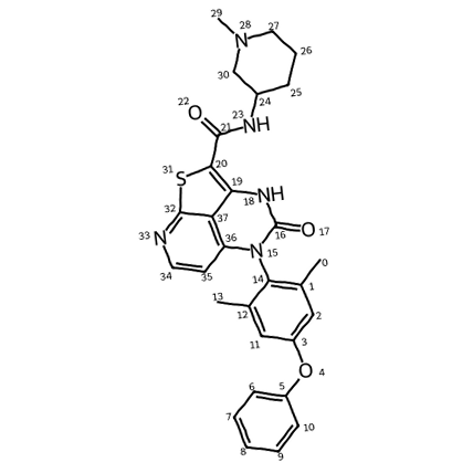 Cc1cc(Oc2ccccc2)cc(C)c1N1C(=O)Nc2c(C(=O)NC3CCCN(C)C3)sc3nccc1c23